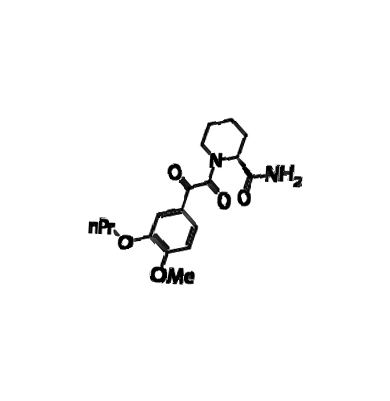 CCCOc1cc(C(=O)C(=O)N2CCCC[C@H]2C(N)=O)ccc1OC